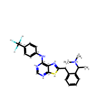 CC(c1ccccc1Cc1nc2c(Nc3ccc(C(F)(F)F)cc3)ncnc2s1)N(C)C